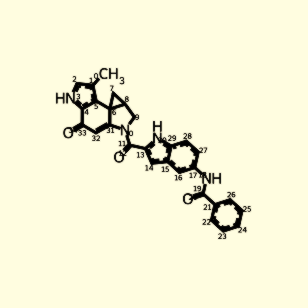 Cc1c[nH]c2c1C13CC1CN(C(=O)c1cc4cc(NC(=O)c5ccccc5)ccc4[nH]1)C3=CC2=O